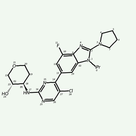 CC(C)n1c(N2CCCC2)nc2c(F)cc(-c3nc(N[C@@H]4CCOC[C@H]4O)ncc3Cl)cc21